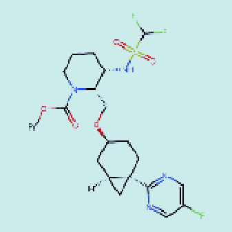 CC(C)OC(=O)N1CCC[C@H](NS(=O)(=O)C(F)F)[C@@H]1CO[C@H]1CC[C@@]2(c3ncc(F)cn3)C[C@H]2C1